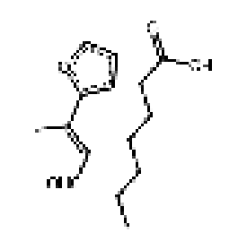 CC(=CC=O)c1ccco1.CCCCCCC(=O)O